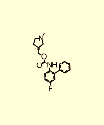 CN1CC[C@H](COC(=O)Nc2ccc(F)cc2-c2ccccc2)C1